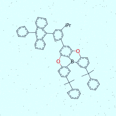 CC(C)c1cc(-c2cc3c4c(c2)Oc2ccc(C(C)(C)c5ccccc5)cc2B4c2cc(C(C)(C)c4ccccc4)ccc2O3)cc(-c2c3ccccc3c(-c3ccccc3)c3ccccc23)c1